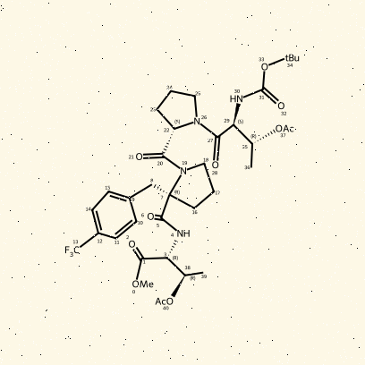 COC(=O)[C@H](NC(=O)[C@]1(Cc2ccc(C(F)(F)F)cc2)CCCN1C(=O)[C@@H]1CCCN1C(=O)[C@@H](NC(=O)OC(C)(C)C)[C@@H](C)OC(C)=O)[C@@H](C)OC(C)=O